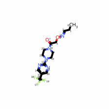 CCC=NOCC(=O)N1CCN(c2ncc(C(F)(F)F)cn2)CC1